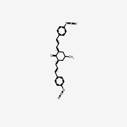 CC1C/C(=C\C=C\c2ccc(N=[N+]=[N-])cc2)C(=O)/C(=C/C=C/c2ccc(N=[N+]=[N-])cc2)C1